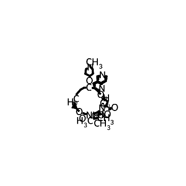 CN1CCC(Oc2c3c(nc4ccncc24)O[C@@H]2C[C@@H](C(=O)O)N(C2)C(=O)[C@H](C(C)(C)C)NC(=O)OC2C[C@@H]2CCCCC3)CC1